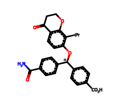 CC(C)c1c(O[C@H](c2ccc(C(N)=O)cc2)c2ccc(C(=O)O)cc2)ccc2c1OCCC2=O